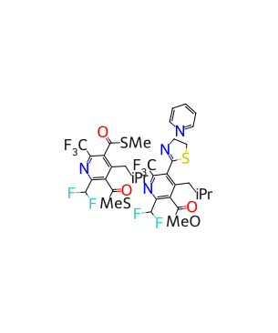 COC(=O)c1c(C(F)F)nc(C(F)(F)F)c(C2=NCCS2)c1CC(C)C.CSC(=O)c1c(C(F)F)nc(C(F)(F)F)c(C(=O)SC)c1CC(C)C.c1ccncc1